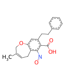 CC1=CCc2c(cc(CCc3ccccc3)c(C(=O)O)c2N=O)OC1